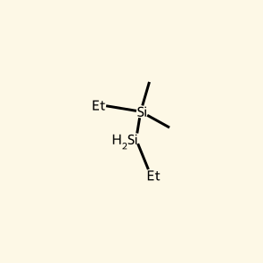 CC[SiH2][Si](C)(C)CC